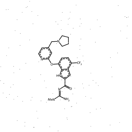 CNC(N)=NC(=O)c1cc2c(C(F)(F)F)ccc(Oc3cc(CN4CCCC4)ccn3)c2[nH]1